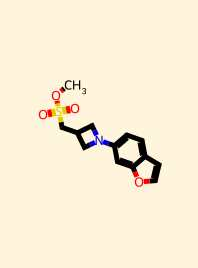 COS(=O)(=O)CC1CN(c2ccc3ccoc3c2)C1